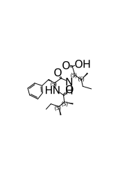 CC[C@H](C)[C@H](C)C(=O)N[C@@H](Cc1ccccc1)C(=O)N[C@H](C(=O)O)[C@@H](C)CC